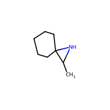 CC1NC12CCCCC2